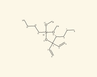 C=CC(C=C)(CCCC)O[Si](CCCC)(OC)OC